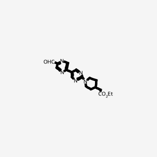 CCOC(=O)CC1CCN(c2ncc(-c3cnc(C=O)cn3)cn2)CC1